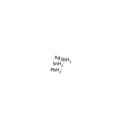 [Ag].[PbH2].[SbH3].[SnH2]